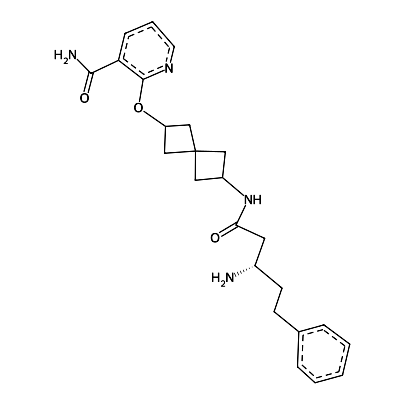 NC(=O)c1cccnc1OC1CC2(CC(NC(=O)C[C@@H](N)CCc3ccccc3)C2)C1